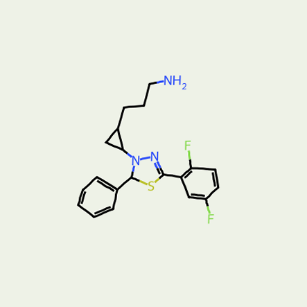 NCCCC1CC1N1N=C(c2cc(F)ccc2F)SC1c1ccccc1